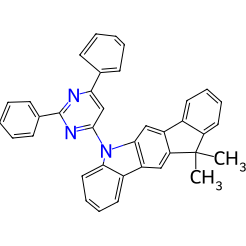 CC1(C)c2ccccc2-c2cc3c(cc21)c1ccccc1n3-c1cc(-c2ccccc2)nc(-c2ccccc2)n1